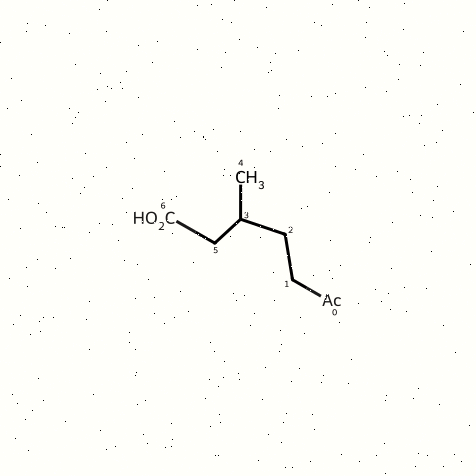 CC(=O)CCC(C)CC(=O)O